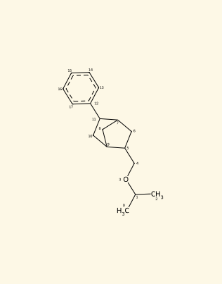 CC(C)OCC1CC2CC1CC2c1ccccc1